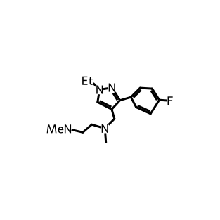 CCn1cc(CN(C)CCNC)c(-c2ccc(F)cc2)n1